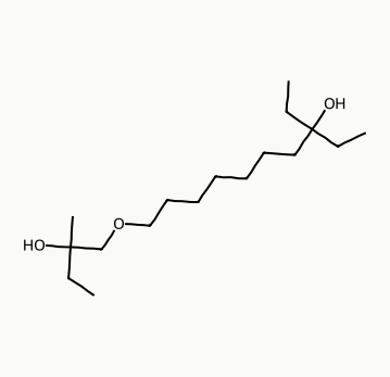 CCC(C)(O)COCCCCCCCC(O)(CC)CC